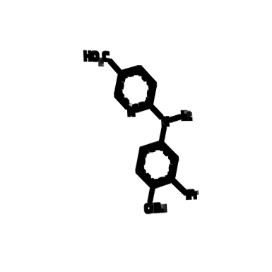 CCN(c1ccc(OCC(C)C)c(C(C)C)c1)c1ccc(C(=O)O)cn1